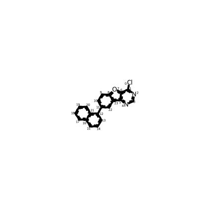 Clc1ncnc2c1oc1ccc(-c3cccc4ccccc34)cc12